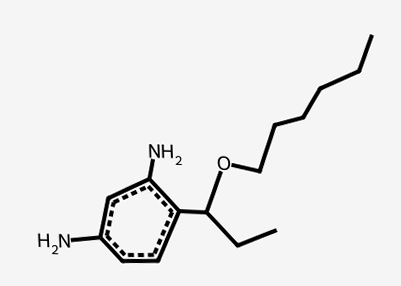 CCCCCCOC(CC)c1ccc(N)cc1N